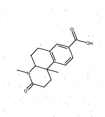 CN1C(=O)CCC2(C)c3ccc(C(=O)O)cc3CCC12